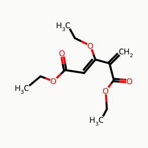 C=C(C(=O)OCC)C(=CC(=O)OCC)OCC